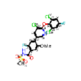 COc1cc(C(=O)NS(C)(=O)=O)c(F)cc1-c1cnc(Oc2c(Cl)cc(F)cc2Cl)c(Cl)c1